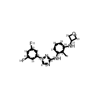 Cc1c(Nc2ncn(-c3cc(F)cc(F)c3)n2)cccc1NC1COC1